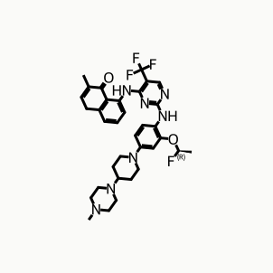 CC1=CCc2cccc(Nc3nc(Nc4ccc(N5CCC(N6CCN(C)CC6)CC5)cc4O[C@@H](C)F)ncc3C(F)(F)F)c2C1=O